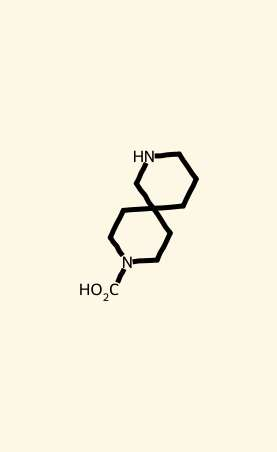 O=C(O)N1CCC2(CCCNC2)CC1